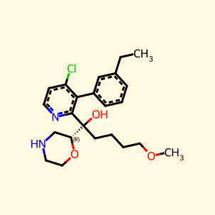 CCc1cccc(-c2c(Cl)ccnc2C(O)(CCCCOC)[C@H]2CNCCO2)c1